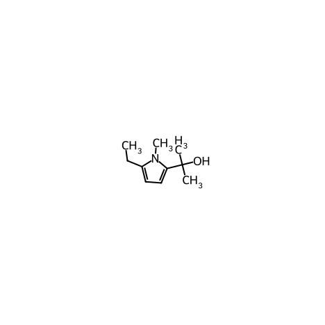 CCc1ccc(C(C)(C)O)n1C